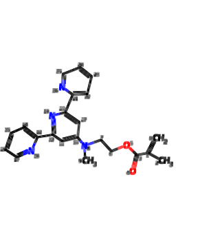 C=C(C)C(=O)OCCN(C)c1cc(-c2ccccn2)nc(-c2ccccn2)c1